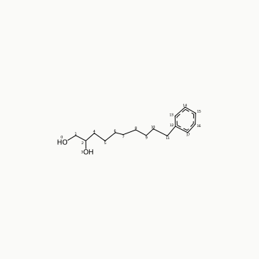 OCC(O)CCCCCCCCc1ccccc1